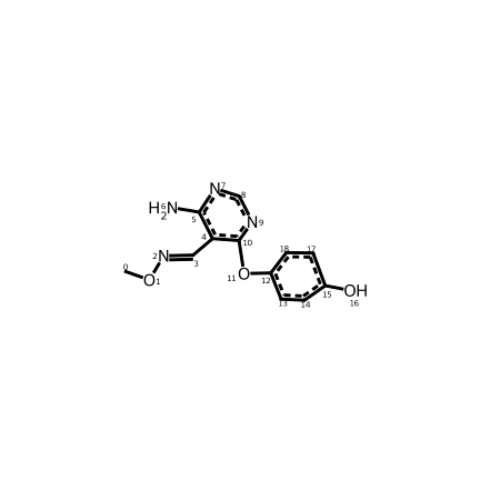 CON=Cc1c(N)ncnc1Oc1ccc(O)cc1